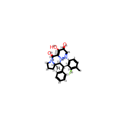 Cc1cccc([C@@H](c2ccccc2)[C@H]2[C@H]3CCCN3C(=O)c3c(O)c(=O)cnn32)c1F